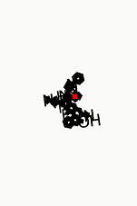 CN(C)C1CN(c2nc3c(F)c(-c4cc(O)cc5ccccc45)c(CCC#N)cc3c3c2nc(-c2ccn(-c4ccccc4)n2)n3C2C3CNC2C3)C1